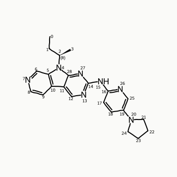 CC[C@@H](C)n1c2cnccc2c2cnc(Nc3ccc(N4CCCC4)cn3)nc21